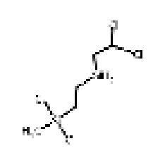 C[Si](Cl)(Cl)CC[SiH2]CC(Cl)Cl